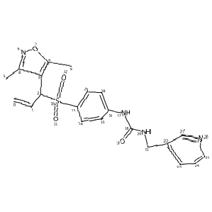 C=CC(c1c(C)noc1C)S(=O)(=O)c1ccc(NC(=O)NCc2cccnc2)cc1